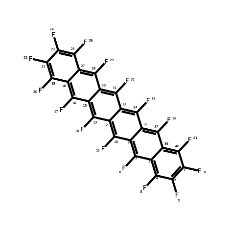 Fc1c(F)c(F)c2c(F)c3c(F)c4c(F)c5c(F)c6c(F)c(F)c(F)c(F)c6c(F)c5c(F)c4c(F)c3c(F)c2c1F